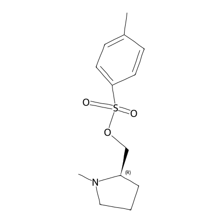 Cc1ccc(S(=O)(=O)OC[C@H]2CCCN2C)cc1